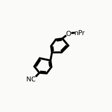 CCCOc1ccc(-c2ccc(C#N)cc2)cc1